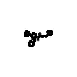 O=C(CCCc1ccccc1)Nc1ncc(-c2ccccc2)nc1CC1CCCCC1